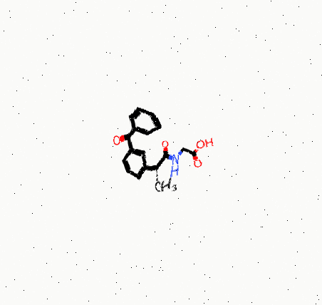 C[C@@H](C(=O)NCC(=O)O)c1cccc(C(=O)c2ccccc2)c1